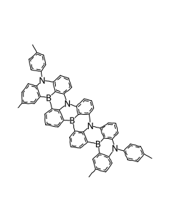 Cc1ccc(N2c3ccc(C)cc3B3c4cccc5c4N(c4cccc2c43)c2cccc3c2B5c2cccc4c2N3c2cccc3c2B4c2cc(C)ccc2N3c2ccc(C)cc2)cc1